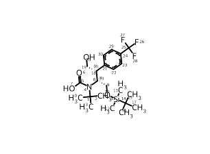 CC(C)(C)N(C(=O)O)[C@@H](CO[Si](C)(C)C(C)(C)C)[C@H](CO)c1ccc(C(F)(F)F)cc1